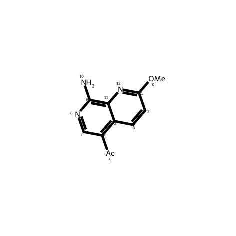 COc1ccc2c(C(C)=O)cnc(N)c2n1